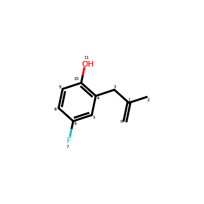 C=C(C)Cc1cc(F)ccc1O